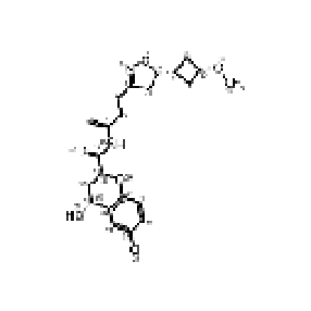 C=C(CCC1=NOC([C@H]2C[C@@H](OC(F)(F)F)C2)C1)NC(=O)[C@@H]1C[C@@H](O)c2cc(Cl)ccc2O1